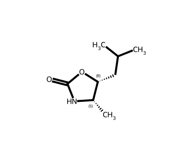 CC(C)C[C@H]1OC(=O)N[C@H]1C